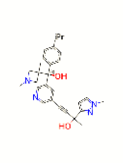 CC(C)c1ccc([C@](O)(c2cncc(C#CC(C)(O)c3ccn(C)n3)c2)C2(C)CN(C)C2)cc1